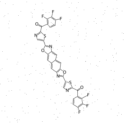 O=C(c1ncc(-c2nc3cc4cc5oc(-c6cnc(C(=O)c7ccc(F)c(F)c7F)s6)nc5cc4cc3o2)s1)c1ccc(F)c(F)c1F